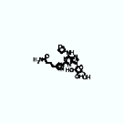 NC(=O)CCCc1cnn(-c2nc(N[C@@H]3CCOC3)c3ncn([C@@H]4O[C@H](CO)[C@@H](O)[C@H]4O)c3n2)c1